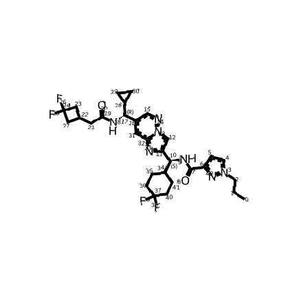 CCCn1ccc(C(=O)N[C@H](c2cn3ncc([C@H](NC(=O)CC4CC(F)(F)C4)C4CC4)cc3n2)C2CCC(F)(F)CC2)n1